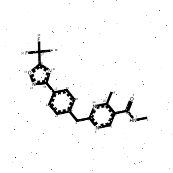 CNC(=O)c1cnc(Cc2ccc(-c3noc(C(F)(F)F)n3)cc2)nc1C